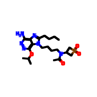 CCCCc1nc2c(N)nnc(OC(C)C)c2n1CCCCN(C(C)=O)C1CS(=O)(=O)C1